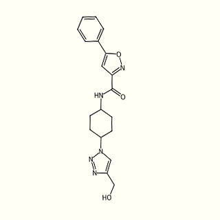 O=C(NC1CCC(n2cc(CO)nn2)CC1)c1cc(-c2ccccc2)on1